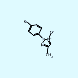 Cc1c[n+]([O-])n(-c2ccc(Br)cc2)n1